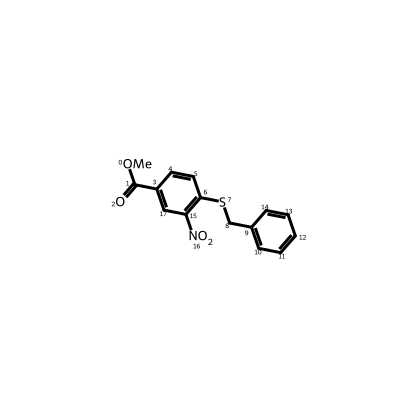 COC(=O)c1ccc(SCc2ccccc2)c([N+](=O)[O-])c1